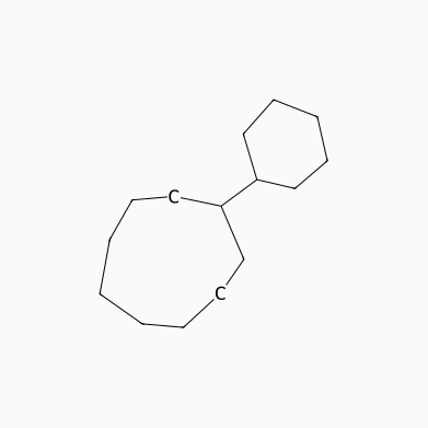 C1CCCCC(C2CCCCC2)CCC1